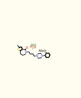 COc1ccccc1N1CCN(CCCCN2CCCc3sc(C)cc3C2=O)CC1.Cl.O